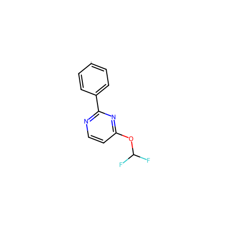 FC(F)Oc1ccnc(-c2cc[c]cc2)n1